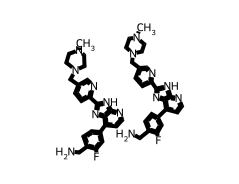 CN1CCN(Cc2ccc(-c3nc4c(-c5ccc(CN)c(F)c5)ccnc4[nH]3)nc2)CC1.CN1CCN(Cc2ccc(-c3nc4c(-c5ccc(CN)c(F)c5)ccnc4[nH]3)nc2)CC1